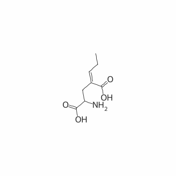 CCC=C(CC(N)C(=O)O)C(=O)O